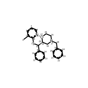 Cc1cccnc1SC(c1ccccc1)[C@@H]1CN(Cc2ccccc2)CCO1